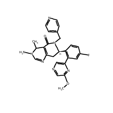 COc1cncc(-c2cc(F)ccc2[C@H]2CC3=C(C(=O)N2Cc2ccncc2)C(C)N(N)C=N3)n1